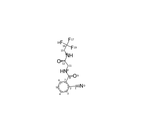 N#Cc1ccccc1C(=O)NCC(=O)NCC(F)(F)F